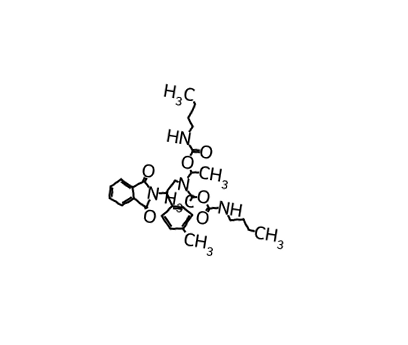 CCCCNC(=O)OC(C)N(CC(c1ccc(C)cc1)N1C(=O)c2ccccc2C1=O)C(C)OC(=O)NCCCC